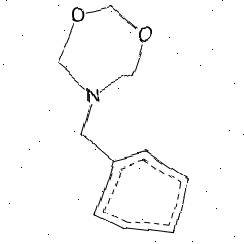 c1ccc(CN2COCOC2)cc1